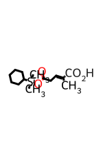 CC(=CCC(=O)O[Si](C)(C)C1CCCCC1)C(=O)O